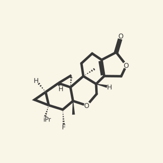 CC(C)[C@]12C[C@H]1[C@@H]1C[C@@]13[C@@]1(C)CCC4=C(COC4=O)[C@@H]1CO[C@]3(C)[C@@H]2F